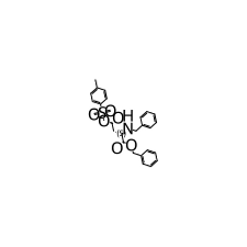 Cc1ccc(S(=O)(=O)OC(=O)C[C@H](NCc2ccccc2)C(=O)OCc2ccccc2)cc1